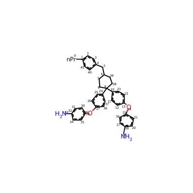 CCCc1ccc(CC2CCC(c3ccc(Oc4ccc(N)cc4)cc3)(c3ccc(Oc4ccc(N)cc4)cc3)CC2)cc1